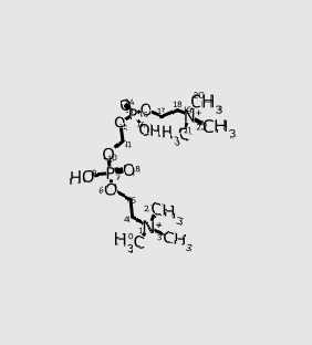 C[N+](C)(C)CCOP(=O)(O)OCOP(=O)(O)OCC[N+](C)(C)C